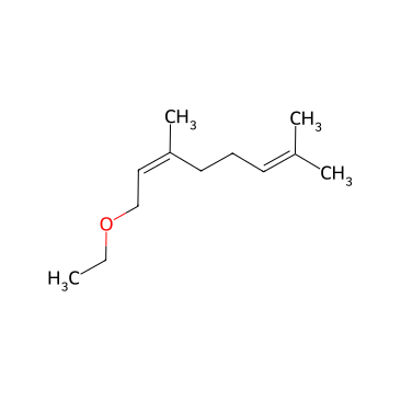 CCOC/C=C(/C)CCC=C(C)C